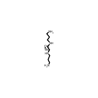 CC(C)(C)C.NCCCNCCNCCCN